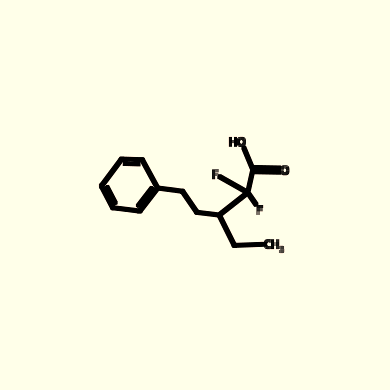 CCC(CCc1ccccc1)C(F)(F)C(=O)O